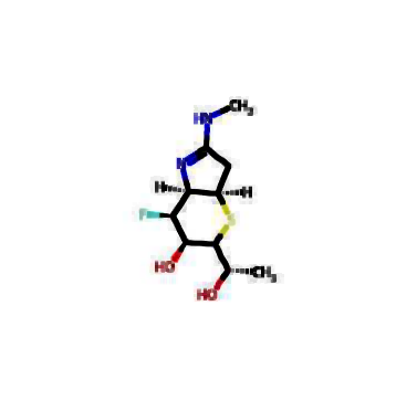 CNC1=N[C@@H]2[C@H](F)[C@H](O)C([C@H](C)O)S[C@@H]2C1